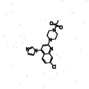 CS(=O)(=O)N1CCN(c2cc(-n3ccnc3)c3ccc(Cl)cc3n2)CC1